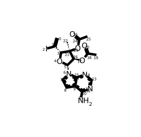 C=C(I)[C@H]1O[C@@H](n2ccc3c(N)ncnc32)[C@H](OC(C)=O)[C@]1(C)OC(C)=O